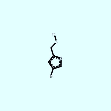 CCSCc1cc(Br)cs1